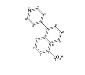 O=C(O)c1cccc2c(-c3ccncc3)cccc12